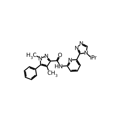 Cc1c(C(=O)Nc2cccc(-c3nncn3C(C)C)n2)nn(C)c1-c1ccccc1